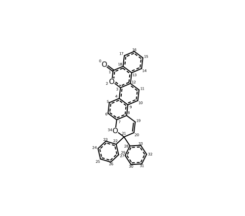 O=c1oc2c3ccc4c(c3ccc2c2ccccc12)C=CC(c1ccccc1)(c1ccccc1)O4